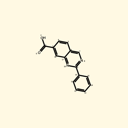 O=C(O)c1ccc2cnc(-c3ccccc3)nc2c1